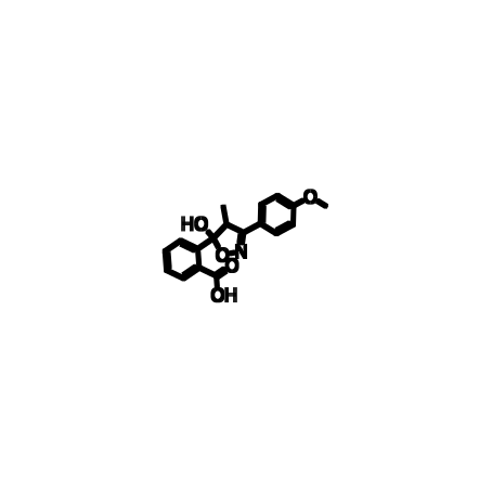 COc1ccc(C2=NOC(O)(c3ccccc3C(=O)O)C2C)cc1